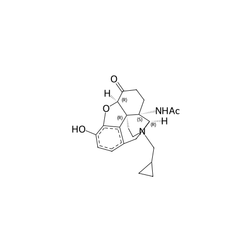 CC(=O)N[C@@]12CCC(=O)[C@@H]3Oc4c(O)ccc5c4[C@@]31CCN(CC1CC1)[C@@H]2C5